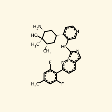 Cc1cc(F)c(-c2ccc3cnc(Nc4cnccc4[C@H]4C[C@@H](N)[C@](C)(O)[C@@H](C)C4)n3n2)c(F)c1